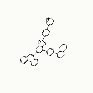 C1=Cc2c(cccc2-c2ccc(-c3cc(-c4cc5ccccc5c5ccccc45)cc4oc(C5=CCC(C6=CCCN=C6)C=C5)nc34)cc2)CC1